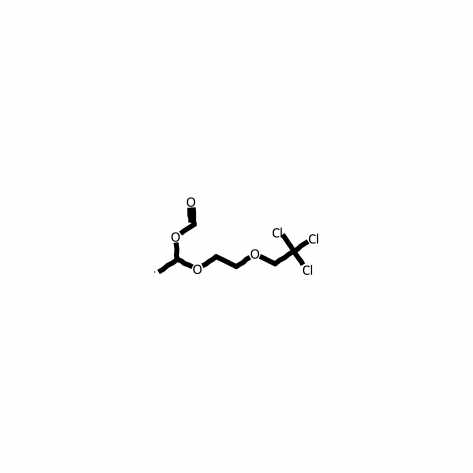 [CH2]C(OC=O)OCCOCC(Cl)(Cl)Cl